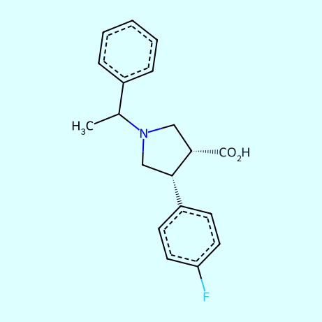 CC(c1ccccc1)N1C[C@H](C(=O)O)[C@H](c2ccc(F)cc2)C1